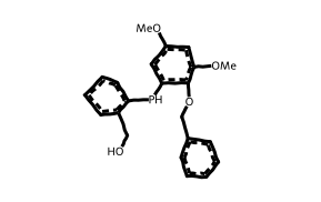 COc1cc(OC)c(OCc2ccccc2)c(Pc2ccccc2CO)c1